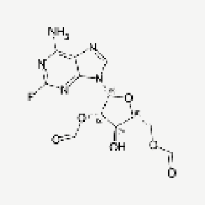 Nc1nc(F)nc2c1ncn2[C@@H]1O[C@H](COC=O)[C@@H](O)[C@@H]1OC=O